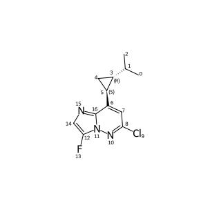 CC(C)[C@H]1C[C@@H]1c1cc(Cl)nn2c(F)cnc12